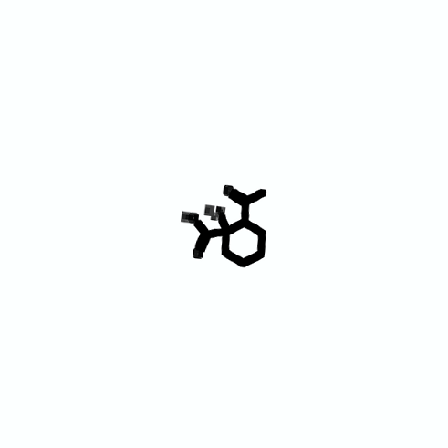 CC(=O)C1CCCCC1(N)C(=O)O